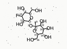 C[C@]1(O[C@H]2OC(CO)[C@@H](O)C(F)C2O)OC(CO)[C@@H](O)C(O)C1O